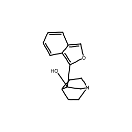 OC1(c2occ3ccccc23)CN2CCC1CC2